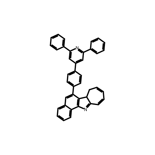 C1=CCC2C(=Nc3c2c(-c2ccc(-c4cc(-c5ccccc5)nc(-c5ccccc5)c4)cc2)cc2ccccc32)C=C1